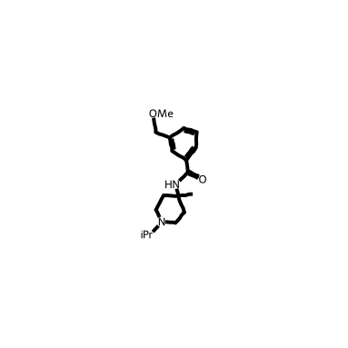 COCc1cccc(C(=O)NC2(C)CCN(C(C)C)CC2)c1